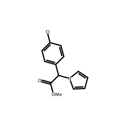 COC(=O)C(c1ccc(Cl)cc1)n1cccc1